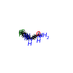 NNC(=O)C1CC2(CC(Nc3cnc(N4CCC(C(F)(F)F)CC4)nc3)C2)C1